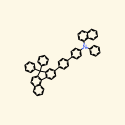 c1ccc(N(c2ccc(-c3ccc(-c4ccc5c(c4)C(c4ccccc4)(c4ccccc4)c4ccc6ccccc6c4-5)cc3)cc2)c2cccc3ccccc23)cc1